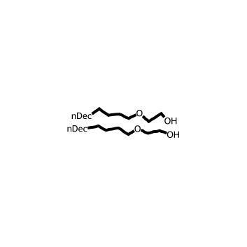 CCCCCCCCCCCCCCOCCO.CCCCCCCCCCCCCCOCCO